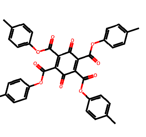 Cc1ccc(OC(=O)C2=C(C(=O)Oc3ccc(C)cc3)C(=O)C(C(=O)Oc3ccc(C)cc3)=C(C(=O)Oc3ccc(C)cc3)C2=O)cc1